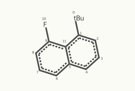 CC(C)(C)c1cccc2cccc(F)c12